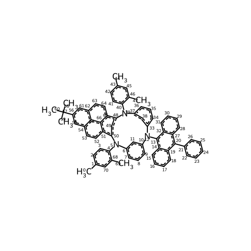 Cc1ccc(N2c3cccc(c3)N(c3c4ccccc4c(-c4ccccc4)c4ccccc34)c3cccc(c3)N(c3ccc(C)cc3C)c3cc2c2ccc4cc(C(C)(C)C)cc5ccc3c2c45)c(C)c1